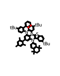 Cc1cc(C)c(-c2cc3c4c(c2)N(c2ccc5c(c2)C(C)(C)CCC5(C)C)c2c(sc5ccc(C(C)(C)C)cc25)B4c2cc(C(C)(C)C)ccc2N3c2ccc(C(C)(C)C)cc2-c2ccccc2)c(C)c1